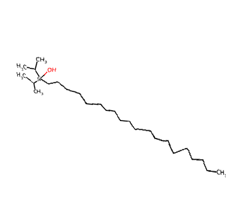 CCCCCCCCCCCCCCCCCCCC[Si](O)(C(C)C)C(C)C